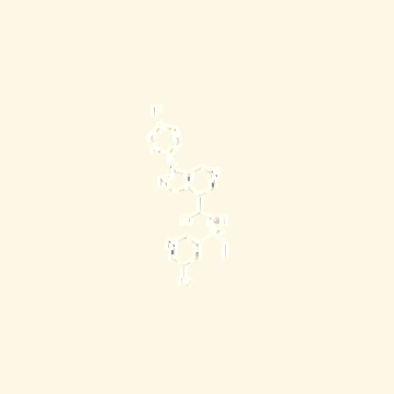 CC[C@@H](NC(=O)c1cncc2c1cnn2-c1ccc(F)cc1)c1cncc(Br)c1